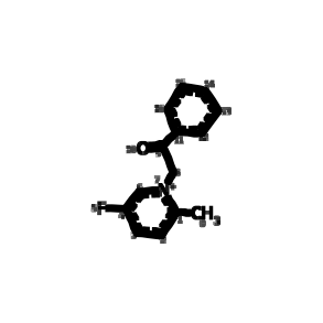 Cc1ccc(F)c[n+]1CC(=O)c1ccccc1